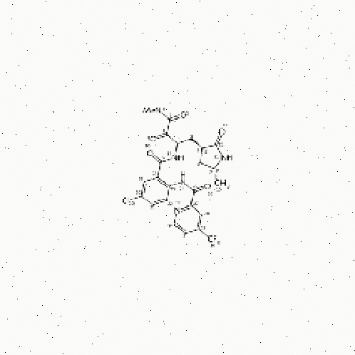 CNC(=O)C(=O)C(C[C@@H]1C[C@@H](C)NC1=O)NC(=O)c1cc(Cl)ccc1NC(=O)c1cc(C(F)(F)F)ccn1